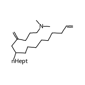 C=CCCCCCCCC(CCCCCCC)CC(=C)CCCN(C)C